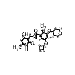 Cc1cc(C)c(CNC(=O)c2cc(OC3CCC3)cc(OC3CCOCC3)c2C)c(=O)[nH]1